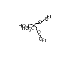 CCOCCOCCC(CCOCCOCC)(CC(=O)O)C(=O)O